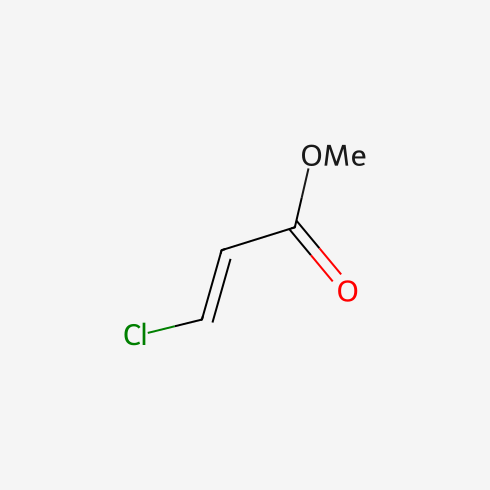 COC(=O)C=CCl